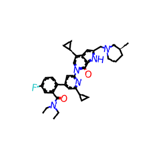 CCN(CC)C(=O)c1cc(F)ccc1-c1cc(C2CC2)nc(-n2cc(C3CC3)c3cc(CN4CCC[C@H](C)C4)[nH]c3c2=O)c1